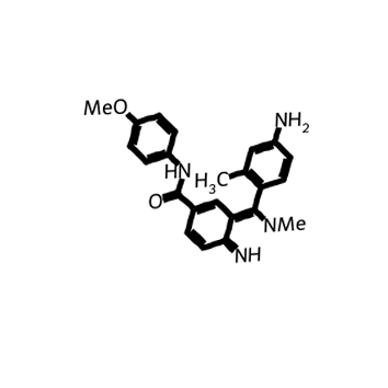 CN/C(=C1/C=C(C(=O)Nc2ccc(OC)cc2)C=CC1=N)c1ccc(N)cc1C